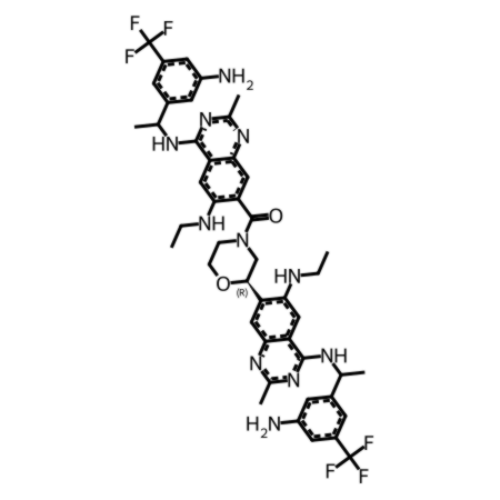 CCNc1cc2c(NC(C)c3cc(N)cc(C(F)(F)F)c3)nc(C)nc2cc1C(=O)N1CCO[C@H](c2cc3nc(C)nc(NC(C)c4cc(N)cc(C(F)(F)F)c4)c3cc2NCC)C1